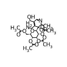 CC(=O)OC[C@H]1O[C@@H](C2(O)C(CN)=C(CO)C=NC2C)[C@H](OC(C)=O)[C@@H](OC(C)=O)[C@@H]1OC(C)=O